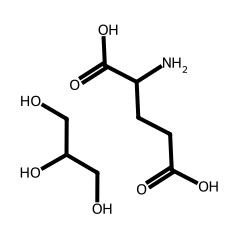 NC(CCC(=O)O)C(=O)O.OCC(O)CO